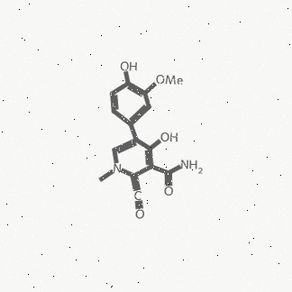 COc1cc(C2=CN(C)C(=C=O)C(C(N)=O)=C2O)ccc1O